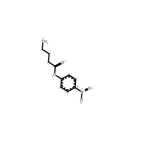 CCCCC(=O)Oc1ccc([N+](=O)[O-])cc1